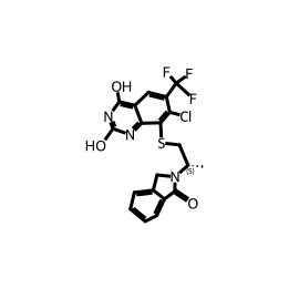 C[C@@H](CSc1c(Cl)c(C(F)(F)F)cc2c(O)nc(O)nc12)N1Cc2ccccc2C1=O